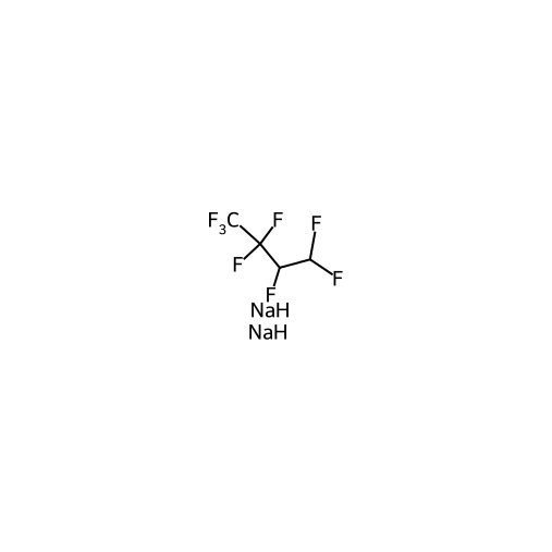 FC(F)C(F)C(F)(F)C(F)(F)F.[NaH].[NaH]